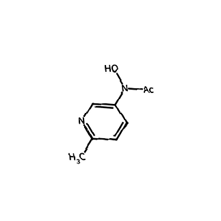 CC(=O)N(O)c1ccc(C)nc1